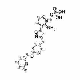 Nc1c(-c2cc(Cc3ccc(OCc4cccc(F)n4)nc3)no2)ccc[n+]1COP(=O)(O)O